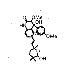 COc1ccc(C2(O)c3c(ccc(/C=C/C4(C)CCC(C)(C)C(O)O4)c3O)NC(=O)C2OC)cc1